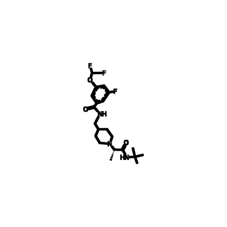 C[C@@H](C(=O)NC(C)(C)C)N1CCC(CNC(=O)c2cc(F)cc(OC(F)F)c2)CC1